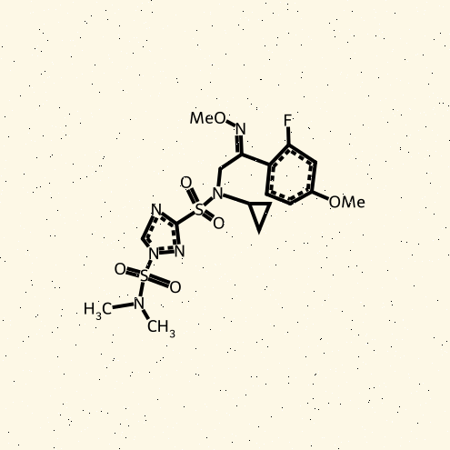 CO/N=C(\CN(C1CC1)S(=O)(=O)c1ncn(S(=O)(=O)N(C)C)n1)c1ccc(OC)cc1F